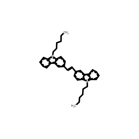 CCCCCCn1c2ccccc2c2cc(/C=C/c3ccc4c(c3)c3ccccc3n4CCCCCC)ccc21